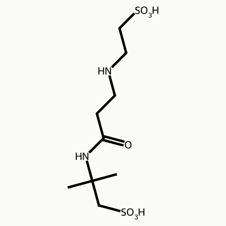 CC(C)(CS(=O)(=O)O)NC(=O)CCNCCS(=O)(=O)O